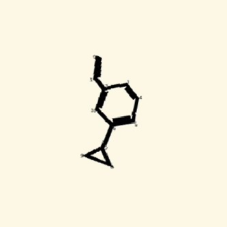 C=[C]c1cccc(C2CC2)c1